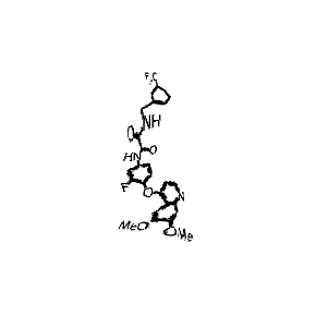 COc1cc2nccc(Oc3ccc(NC(=O)C(=O)NCC4=CCCC(C(F)(F)F)=C4)cc3F)c2cc1OC